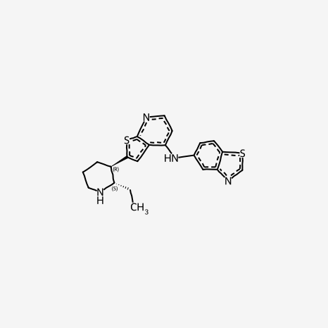 CC[C@@H]1NCCC[C@H]1c1cc2c(Nc3ccc4scnc4c3)ccnc2s1